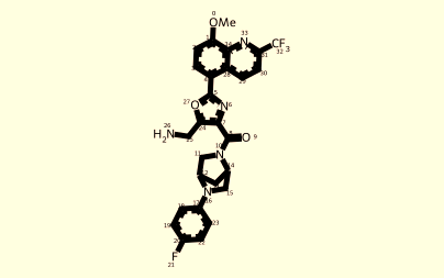 COc1ccc(-c2nc(C(=O)N3CC4CC3CN4c3ccc(F)cc3)c(CN)o2)c2ccc(C(F)(F)F)nc12